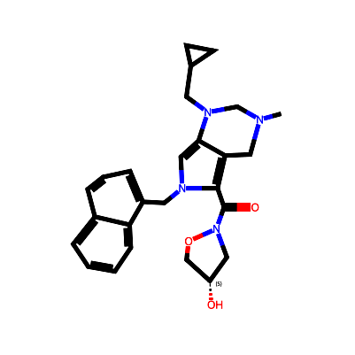 CN1Cc2c(cn(Cc3cccc4ccccc34)c2C(=O)N2C[C@H](O)CO2)N(CC2CC2)C1